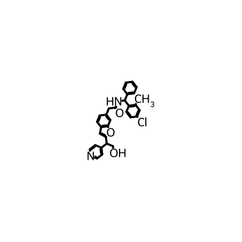 Cc1cc(Cl)ccc1C(NC(=O)Cc1ccc2cc(C(CO)c3ccncc3)oc2c1)c1ccccc1